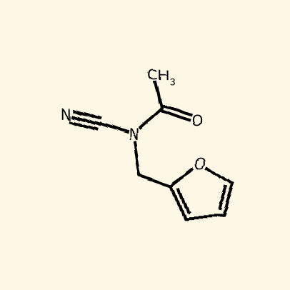 CC(=O)N(C#N)Cc1ccco1